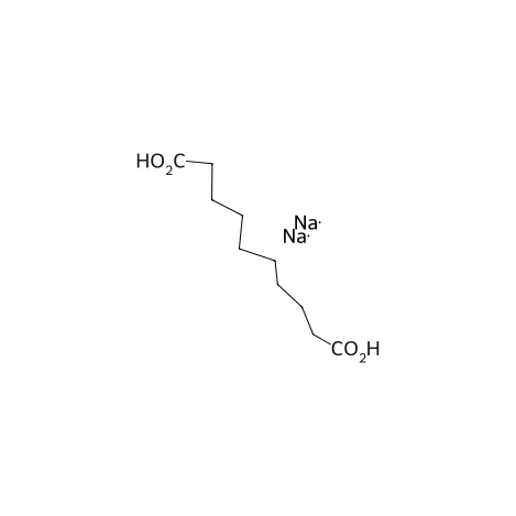 O=C(O)CCCCCCCCC(=O)O.[Na].[Na]